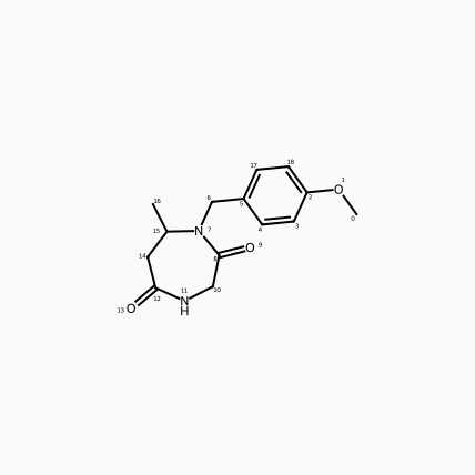 COc1ccc(CN2C(=O)CNC(=O)CC2C)cc1